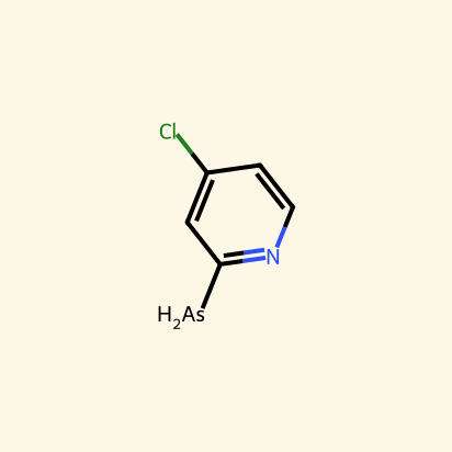 Clc1ccnc([AsH2])c1